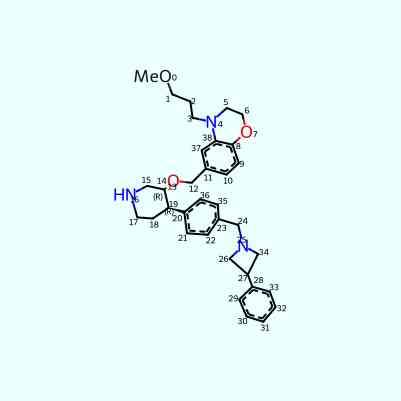 COCCCN1CCOc2ccc(CO[C@H]3CNCC[C@@H]3c3ccc(CN4CC(c5ccccc5)C4)cc3)cc21